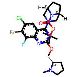 CN1CCC[C@H]1COc1nc(N2C[C@H]3CC[C@@H](C2)N3C(=O)OC(C)(C)C)c2cc(Cl)c(Br)c(F)c2n1